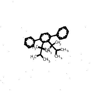 CC(C)C(C)(C)c1c(-c2ccccc2)ccc(-c2ccccc2)c1C(C)(C)C(C)C